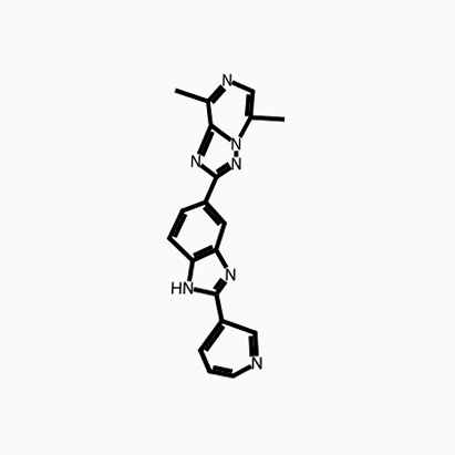 Cc1ncc(C)n2nc(-c3ccc4[nH]c(-c5cccnc5)nc4c3)nc12